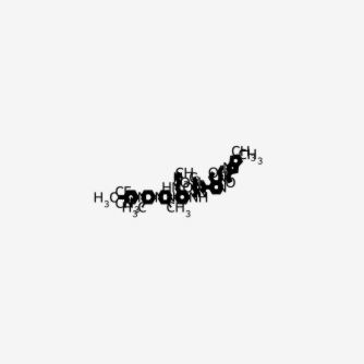 C=CC(=O)Nc1cc(Nc2nc(-c3ccnc(N4CCn5c(cc6c5CC(C)(C)C6)C4=O)c3CO)cn(C)c2=O)ccc1N1CCN(C2CCN(c3ccc(C(C)(C)C(F)(F)F)nc3)[C@H](C)C2)C[C@@H]1C